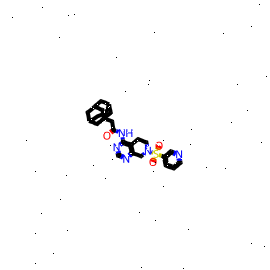 O=C(CC12CC3CC(CC(C3)C1)C2)Nc1ncnc2c1CCN(S(=O)(=O)c1cccnc1)C2